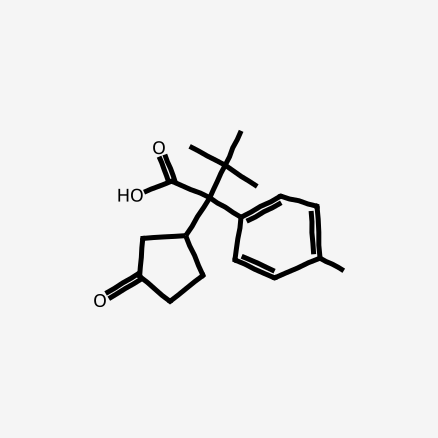 Cc1ccc(C(C(=O)O)(C2CCC(=O)C2)C(C)(C)C)cc1